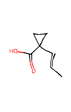 C/C=C/C1(C(=O)O)CC1